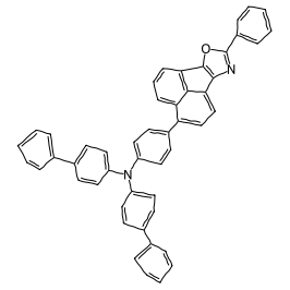 c1ccc(-c2ccc(N(c3ccc(-c4ccccc4)cc3)c3ccc(-c4ccc5c6c(cccc46)-c4oc(-c6ccccc6)nc4-5)cc3)cc2)cc1